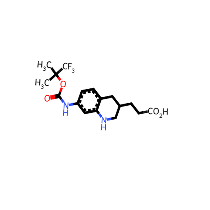 CC(C)(OC(=O)Nc1ccc2c(c1)NCC(CCC(=O)O)C2)C(F)(F)F